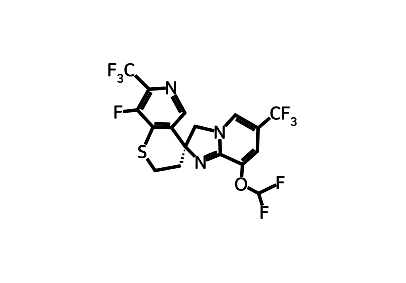 Fc1c(C(F)(F)F)ncc2c1SCC[C@@]21CN2C=C(C(F)(F)F)C=C(OC(F)F)C2=N1